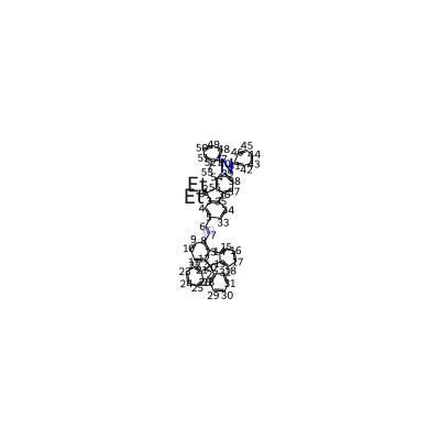 CCC1(CC)c2cc(/C=C/c3cccc4c3-c3ccccc3C4(c3ccccc3)c3ccccc3)ccc2-c2ccc(N(c3ccccc3)c3ccccc3C)cc21